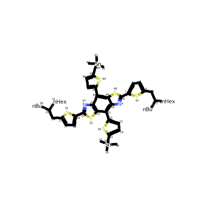 CCCCCCC(CCCC)Cc1ccc(-c2nc3c(-c4cc[c]([Sn]([CH3])([CH3])[CH3])s4)c4sc(-c5ccc(CC(CCCC)CCCCCC)s5)nc4c(-c4cc[c]([Sn]([CH3])([CH3])[CH3])s4)c3s2)s1